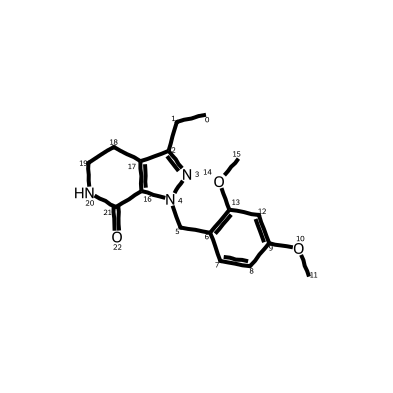 CCc1nn(Cc2ccc(OC)cc2OC)c2c1CCNC2=O